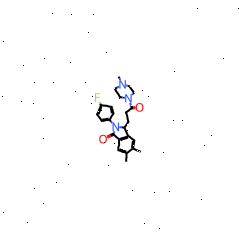 Cc1cc2c(cc1C)C(CCC(=O)N1CCN(C)CC1)N(c1ccc(F)cc1)C2=O